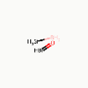 B[SiH3].[O]=[BiH]